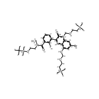 CC(C)(C)[Si](C)(C)OCCN(N)C(=O)c1cccc(-c2nc3c(OCOCC[Si](C)(C)C)cc(Br)cc3n(COCC[Si](C)(C)C)c2=O)c1F